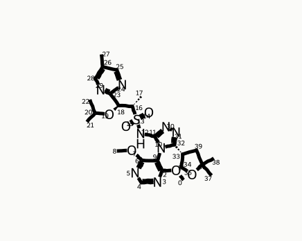 COc1ncnc(OC)c1-n1c(NS(=O)(=O)[C@@H](C)[C@@H](OC(C)C)c2ncc(C)cn2)nnc1[C@H]1COC(C)(C)C1